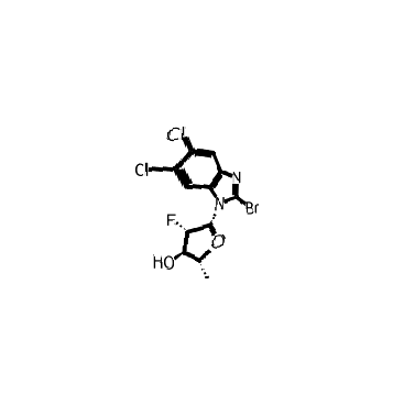 C[C@H]1O[C@@H](n2c(Br)nc3cc(Cl)c(Cl)cc32)[C@@H](F)[C@@H]1O